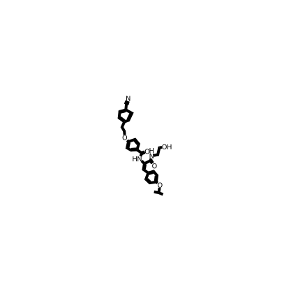 CC(C)Oc1ccc(/C=C(/NC(=O)c2ccc(OCCc3ccc(C#N)cc3)cc2)C(=O)NCCO)cc1